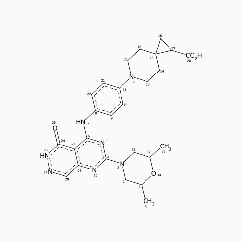 CC1CN(c2nc(Nc3ccc(N4CCC5(CC4)CC5C(=O)O)cc3)c3c(=O)[nH]ncc3n2)CC(C)O1